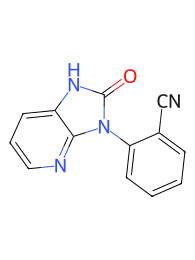 N#Cc1ccccc1-n1c(=O)[nH]c2cccnc21